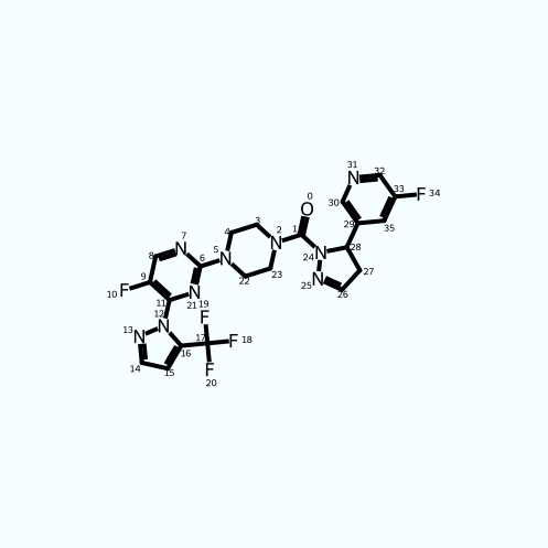 O=C(N1CCN(c2ncc(F)c(-n3nccc3C(F)(F)F)n2)CC1)N1N=CCC1c1cncc(F)c1